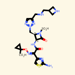 Nc1nc(/C(=N/OC2(C(=O)O)CC2)C(=O)N[C@@H]2C(=O)N(S(=O)(=O)O)[C@@H]2Cn2ncc(CNCC3CNC3)n2)cs1